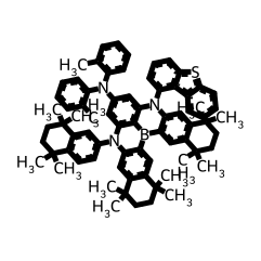 Cc1ccccc1N(c1cc2c3c(c1)N(c1cccc4sc5ccccc5c14)c1cc4c(cc1B3c1cc3c(cc1N2c1ccc2c(c1)C(C)(C)CCC2(C)C)C(C)(C)CCC3(C)C)C(C)(C)CCC4(C)C)c1ccccc1C